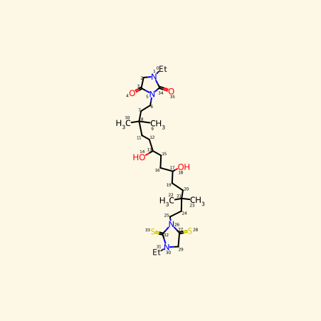 CCN1CC(=O)N(CCC(C)(C)CCC(O)CCC(O)CCC(C)(C)CCN2C(=S)CN(CC)C2=S)C1=O